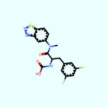 CN(C(=O)C(Cc1cc(F)cc(F)c1)NC(=O)O)c1ccc2snnc2c1